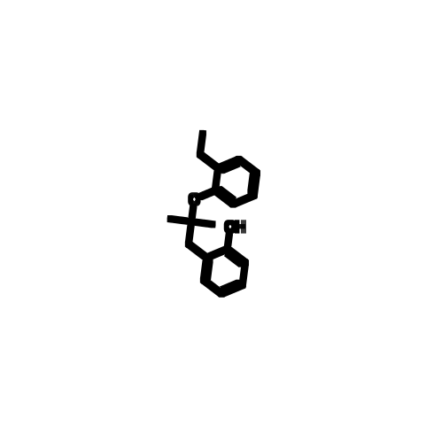 CCc1ccccc1OC(C)(C)Cc1ccccc1O